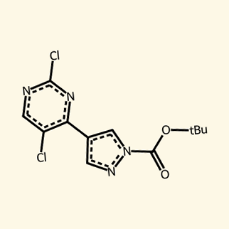 CC(C)(C)OC(=O)n1cc(-c2nc(Cl)ncc2Cl)cn1